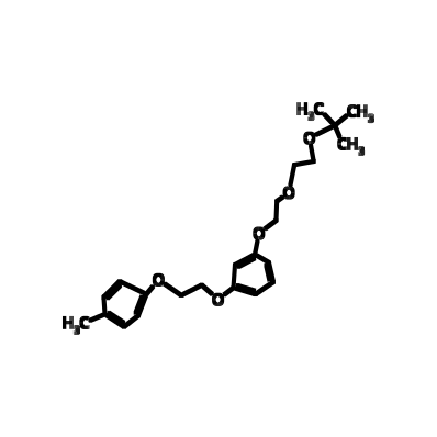 Cc1ccc(OCCOc2cccc(OCCOCCOC(C)(C)C)c2)cc1